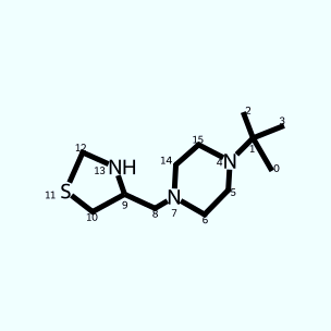 CC(C)(C)N1CCN(CC2CSCN2)CC1